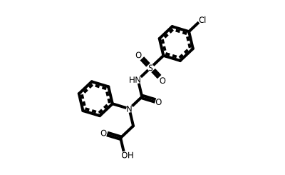 O=C(O)CN(C(=O)NS(=O)(=O)c1ccc(Cl)cc1)c1ccccc1